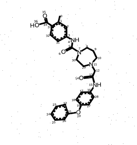 Cc1cc(NC(=O)N2CCCN(CC(=O)Nc3ccc(Oc4ccccc4)cc3)CC2)ccc1C(=O)O